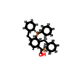 OC(=S)c1ccc(Cc2ccccc2)c(Sc2ccccc2)c1Cc1ccccc1